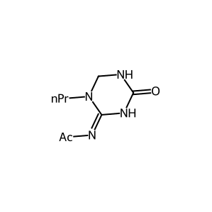 CCCN1CNC(=O)NC1=NC(C)=O